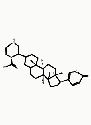 C[C@]12CCC(C3CNCCN3C(=O)O)CC1CC[C@@H]1[C@@H]2CC[C@]2(C)[C@@H](c3ccc(=O)oc3)CC[C@]12O